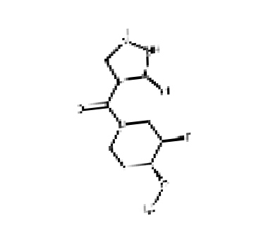 CO[C@H]1CCN(C(=O)C2CNNC2Cl)C[C@H]1F